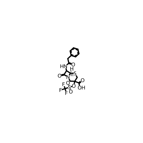 O=C(Cc1ccccc1)NC1C(=O)N2CC(OS(=O)(=O)C(F)(F)F)(C(=O)O)CS[C@H]12